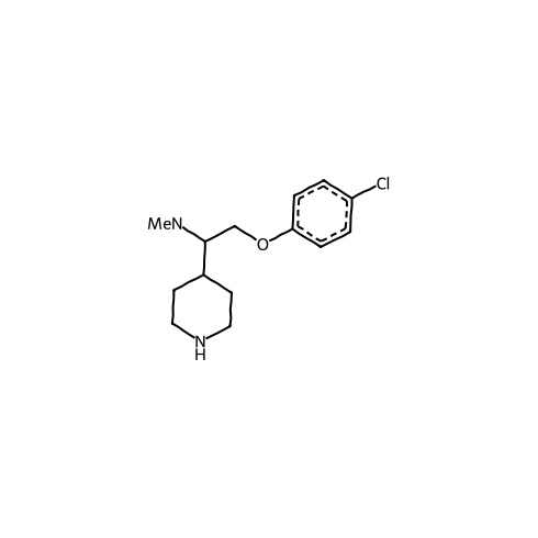 CNC(COc1ccc(Cl)cc1)C1CCNCC1